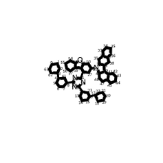 c1ccc(-c2cccc(-c3nc(-c4cccc(-c5ccccc5)c4)nc(-c4cc(-n5c6cc7ccccc7cc6c6c7ccccc7ccc65)cc5oc6ccccc6c45)n3)c2)cc1